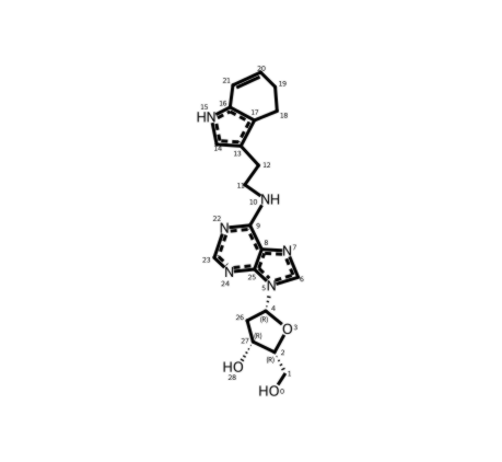 OC[C@H]1O[C@@H](n2cnc3c(NCCc4c[nH]c5c4CCC=C5)ncnc32)C[C@H]1O